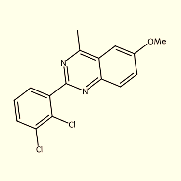 COc1ccc2nc(-c3cccc(Cl)c3Cl)nc(C)c2c1